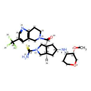 CO[C@@H]1COCC[C@@H]1N[C@@H]1C[C@H]2CN(C(N)=S)C[C@@]2(C(=O)N2CCc3ncc(C(F)(F)F)cc3C2)C1